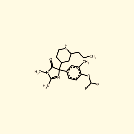 CCCC1CC(C2(c3ccc(OC(F)F)c(C)c3)N=C(N)N(C)C2=O)CCN1